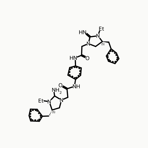 CCN1C(=N)N(CC(=O)Nc2ccc(NC(=O)CN3C[C@H](Cc4ccccc4)N(CC)C3N)cc2)C[C@@H]1Cc1ccccc1